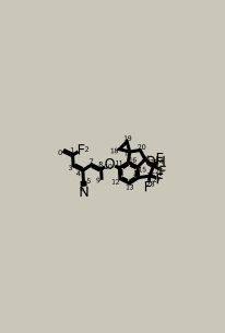 C=C(F)/C=C(C#N)\C=C(/C)Oc1ccc2c3c1C1(CC1)CC3(O)C(F)(F)C2(F)F